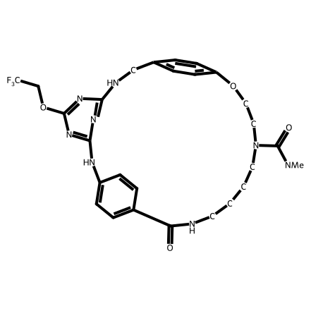 CNC(=O)N1CCCCNC(=O)c2ccc(cc2)Nc2nc(nc(OCC(F)(F)F)n2)NCc2ccc(cc2)OCC1